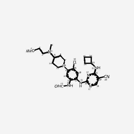 COCCN(C)C1CCN(c2cc(NC=O)c(Nc3ncc(C#N)c(NC4CCC4)n3)cc2Cl)CC1